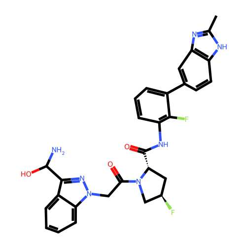 Cc1nc2cc(-c3cccc(NC(=O)[C@@H]4C[C@@H](F)CN4C(=O)Cn4nc(C(N)O)c5ccccc54)c3F)ccc2[nH]1